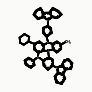 Cc1ccc2c(c1)N(c1ccc(-n3c4ccccc4c4ccccc43)cc1)c1cc(C3CCCCC3)cc3c1B2c1cc(-n2c4ccccc4c4ccccc42)ccc1N3c1ccccc1